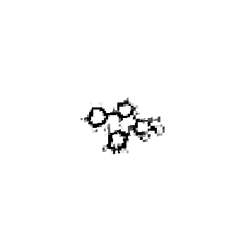 O=C1N[C@H](c2cccc(-c3ccccc3)c2)[C@@H](c2cccnc2)O1